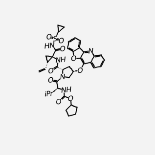 C=C[C@@H]1C[C@]1(NC(=O)[C@@H]1C[C@@H](Oc2c3ccccc3nc3c2oc2ccccc23)CN1C(=O)[C@@H](NC(=O)OC1CCCC1)C(C)C)C(=O)NS(=O)(=O)C1CC1